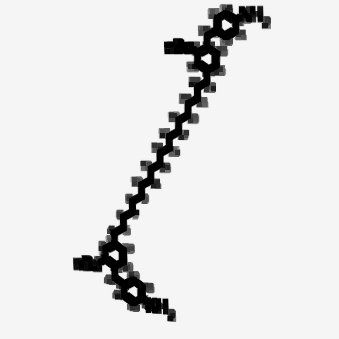 CCCCc1cc(CCCCCCCCCCCCCCCCCCCCc2ccc(Cc3ccc(N)cc3)c(CCCC)c2)ccc1Cc1ccc(N)cc1